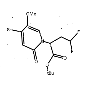 COc1cn(C(CC(F)F)C(=O)OC(C)(C)C)c(=O)cc1Br